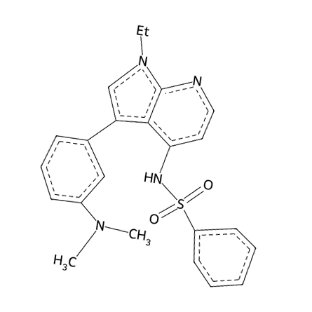 CCn1cc(-c2cccc(N(C)C)c2)c2c(NS(=O)(=O)c3ccccc3)ccnc21